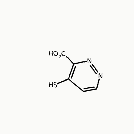 O=C(O)c1nnccc1S